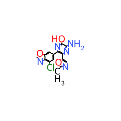 Cc1ncc(-c2nc(N)c(O)nc2-c2cc(Cl)c3ncoc3c2)o1